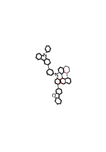 c1ccc(-n2c3ccccc3c3cc(-c4cccc(N(c5ccc(-c6ccc7c(c6)oc6ccccc67)cc5)c5ccccc5-c5cccc6cccc(C7CCCCC7)c56)c4)ccc32)cc1